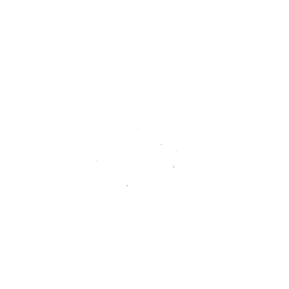 CC(C)(C)c1cccc(Br)c1OCc1ccccc1